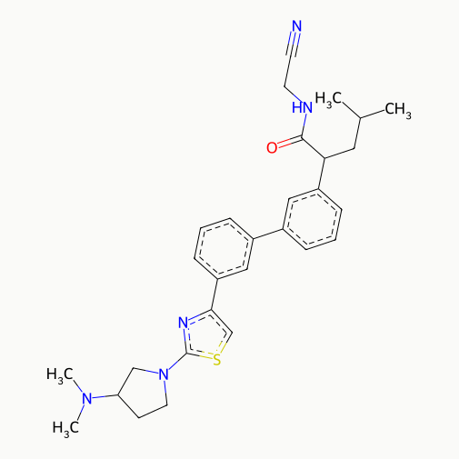 CC(C)CC(C(=O)NCC#N)c1cccc(-c2cccc(-c3csc(N4CCC(N(C)C)C4)n3)c2)c1